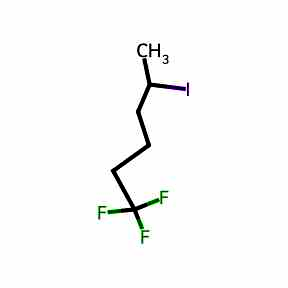 CC(I)CCCC(F)(F)F